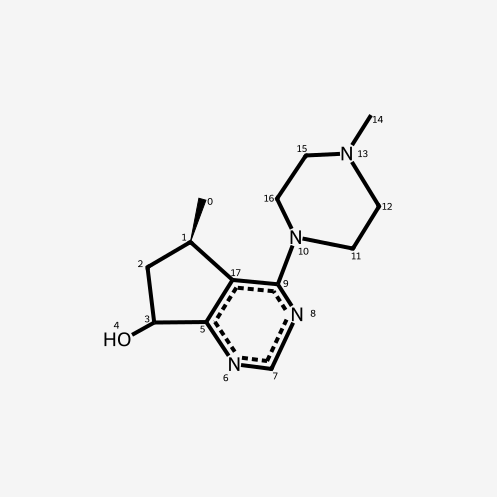 C[C@@H]1CC(O)c2ncnc(N3CCN(C)CC3)c21